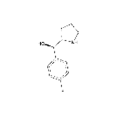 O[C@H](c1ccc(F)cc1)[C@@H]1CCCN1